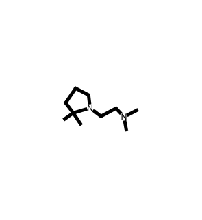 CN(C)CCN1CCCC1(C)C